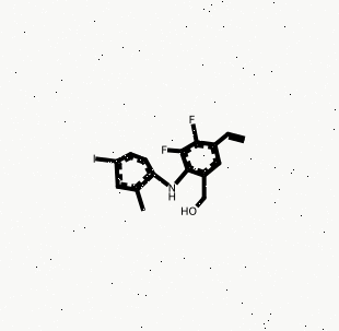 C=Cc1cc(CO)c(Nc2ccc(I)cc2C)c(F)c1F